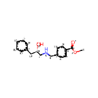 COC(=O)c1ccc(CNC[C@@H](O)Cc2ccccc2)cc1